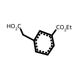 CCOC(=O)c1cccc(CC(=O)O)c1